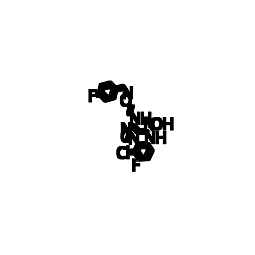 O/N=C(\Nc1ccc(F)c(Cl)c1)c1nonc1NCCO/N=C\c1ccc(F)cc1